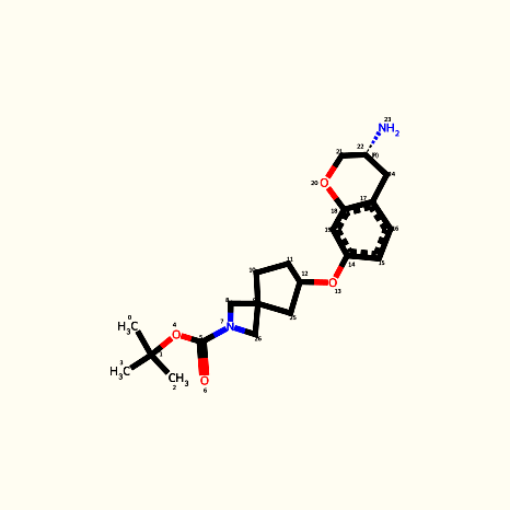 CC(C)(C)OC(=O)N1CC2(CCC(Oc3ccc4c(c3)OC[C@H](N)C4)C2)C1